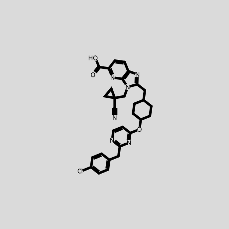 N#CC1(Cn2c(CC3CCC(Oc4ccnc(Cc5ccc(Cl)cc5)n4)CC3)nc3ccc(C(=O)O)nc32)CC1